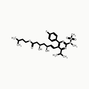 CC(C)CCOC(=O)C[C@H](O)C[C@H](O)/C=C/c1c(-c2ccc(F)cc2)nc(N(C)S(C)(=O)=O)nc1C(C)C